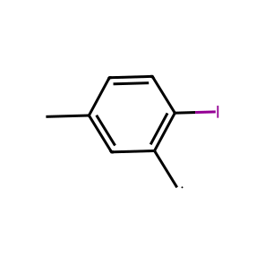 [CH2]c1cc(C)ccc1I